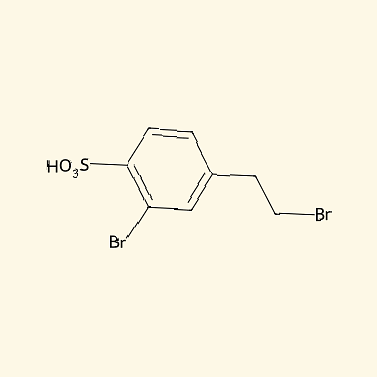 O=S(=O)(O)c1ccc(CCBr)cc1Br